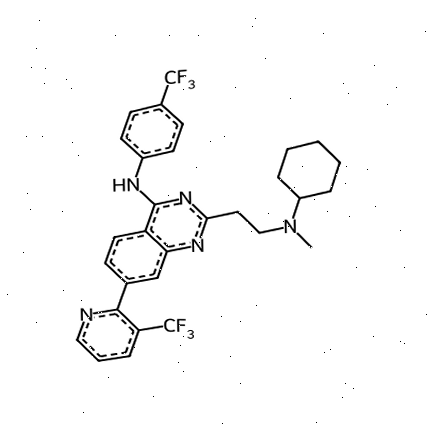 CN(CCc1nc(Nc2ccc(C(F)(F)F)cc2)c2ccc(-c3ncccc3C(F)(F)F)cc2n1)C1CCCCC1